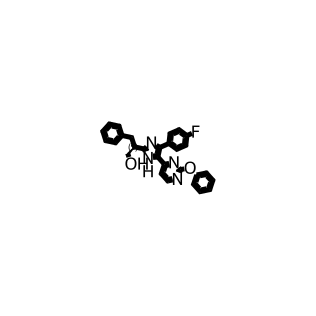 OC[C@@H](Cc1ccccc1)c1nc(-c2ccc(F)cc2)c(-c2ccnc(Oc3ccccc3)n2)[nH]1